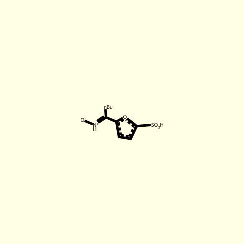 CCCCC(=[NH+][O-])c1ccc(S(=O)(=O)O)o1